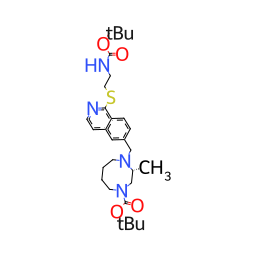 C[C@@H]1CN(C(=O)OC(C)(C)C)CCCCN1Cc1ccc2c(SCCNC(=O)OC(C)(C)C)nccc2c1